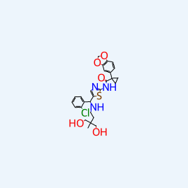 CC(CO)(CO)CCNC(c1cnc(NC(=O)C2(c3ccc4c(c3)OCO4)CC2)s1)c1ccccc1Cl